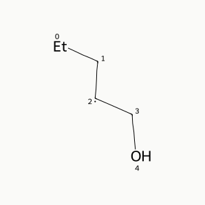 [CH]CC[CH]CO